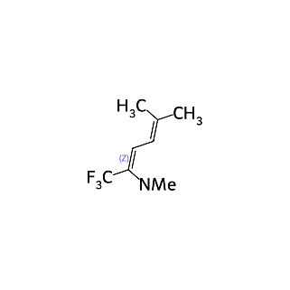 CN/C(=C\C=C(C)C)C(F)(F)F